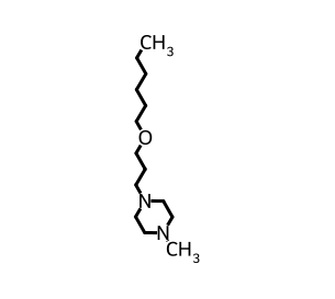 CCCCCCOCCCN1CCN(C)CC1